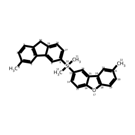 Cc1ccc2c(c1)-c1cc([Si](C)(C)c3ccc4oc5ccc(C)cc5c4c3)ccc1C2